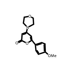 COc1ccc(-c2cc(N3CCOCC3)cc(=O)o2)cc1